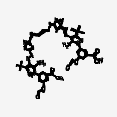 CC(C)(C)c1nn(-c2cc(OC=O)cc(C(=O)O)c2)c(N)c1N=Nc1nnc(SCCCSc2nnc(N=Nc3c(C(C)(C)C)nn(-c4cc(OC=O)cc(C(=O)O)c4)c3N)s2)s1